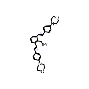 CC(C)Cc1c(/C=C/c2ccc(N3CCOCC3)cc2)cccc1/C=C/c1ccc(N2CCOCC2)cc1